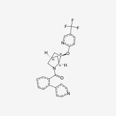 O=C(c1ccccc1-c1ccncc1)N1C[C@H]2C[C@@H](Oc3ccc(C(F)(F)F)cn3)[C@@H]1C2